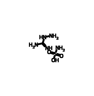 N=C(N)NN.NS(=O)(=O)O